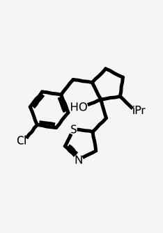 CC(C)C1CCC(Cc2ccc(Cl)cc2)C1(O)CC1CN=CS1